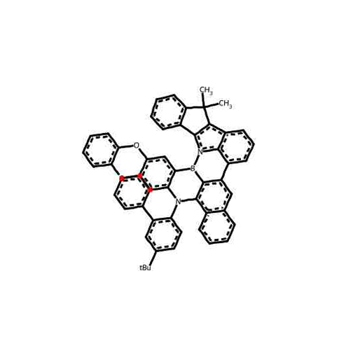 CC(C)(C)c1ccc(N2c3cc4c(cc3B3c5c(cc6ccccc6c52)-c2cccc5c6c(n3c25)-c2ccccc2C6(C)C)Oc2ccccc2O4)c(-c2ccccc2)c1